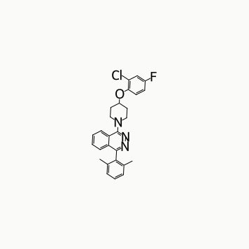 Cc1cccc(C)c1-c1nnc(N2CCC(Oc3ccc(F)cc3Cl)CC2)c2ccccc12